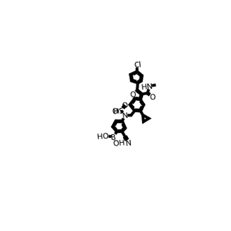 CNC(=O)c1c(-c2ccc(Cl)cc2)oc2cc(CN(c3ccc(B(O)O)c(C#N)c3)[SH](=O)=O)c(C3CC3)cc12